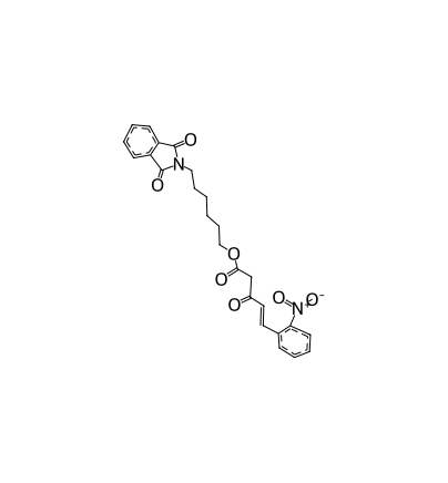 O=C(C=Cc1ccccc1[N+](=O)[O-])CC(=O)OCCCCCCN1C(=O)c2ccccc2C1=O